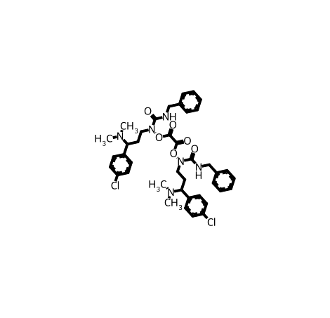 CN(C)C(CCN(OC(=O)C(=O)ON(CCC(c1ccc(Cl)cc1)N(C)C)C(=O)NCc1ccccc1)C(=O)NCc1ccccc1)c1ccc(Cl)cc1